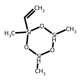 C=C[Si]1(C)O[SiH](C)O[SiH](C)O1